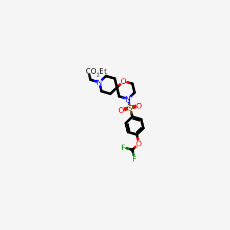 CCOC(=O)CN1CCC2(CC1)CN(S(=O)(=O)c1ccc(OC(F)F)cc1)CCO2